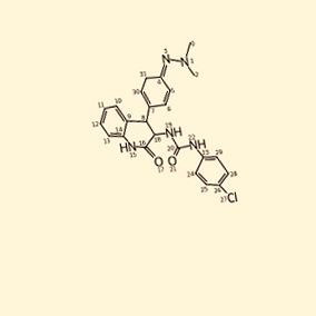 CN(C)N=C1C=CC(C2c3ccccc3NC(=O)C2NC(=O)Nc2ccc(Cl)cc2)=CC1